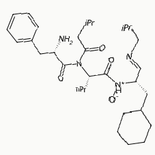 CCC[C@@H](C(=O)[NH+]([O-])[C@H](C=NCC(C)C)CC1CCCCC1)N(C(=O)CC(C)C)C(=O)[C@@H](N)Cc1ccccc1